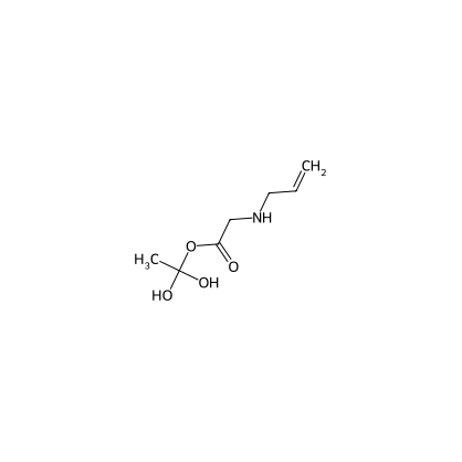 C=CCNCC(=O)OC(C)(O)O